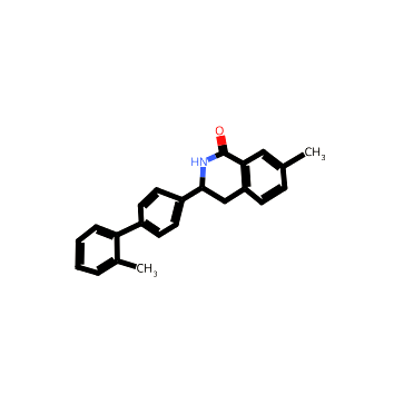 Cc1ccc2c(c1)C(=O)NC(c1ccc(-c3ccccc3C)cc1)C2